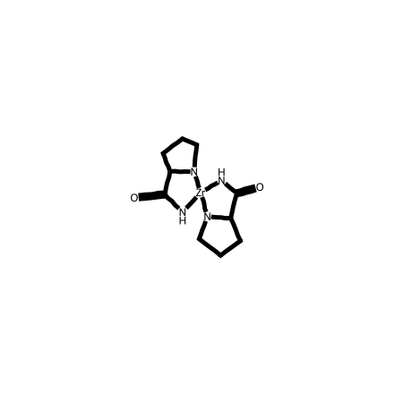 O=C1[NH][Zr]2([NH]C(=O)C3CCC[N]32)[N]2CCCC12